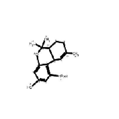 CCCCCc1cc(O)cc2c1C1C=C(C)CCC1C(C)(C)O2